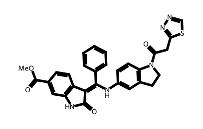 COC(=O)c1ccc2c(c1)NC(=O)/C2=C(\Nc1ccc2c(c1)CCN2C(=O)Cc1nncs1)c1ccccc1